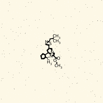 CCOC(=O)c1cn2cc(-c3cnc(CC(C)C)s3)cc(-c3ccccc3C)c2n1